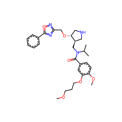 COCCCOc1cc(C(=O)N(C[C@@H]2CNC[C@H]2OCc2noc(-c3ccccc3)n2)C(C)C)ccc1OC